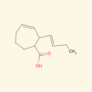 CCC=CC1C=CCCCC1C(=O)O